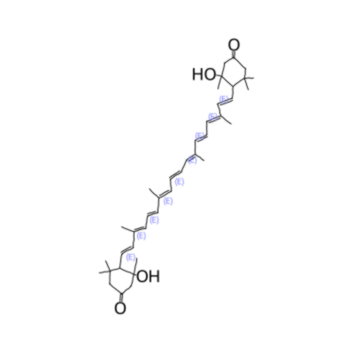 CC(/C=C/C=C(C)/C=C/C1C(C)(C)CC(=O)CC1(C)O)=C\C=C\C=C(C)\C=C\C=C(C)\C=C\C1C(C)(C)CC(=O)CC1(C)O